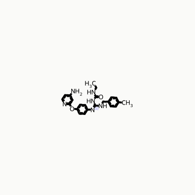 CCNC(=O)N/C(=N\c1ccc(Oc2cc(N)ccn2)cc1)NCc1ccc(C)cc1